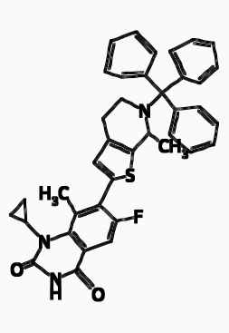 Cc1c(-c2cc3c(s2)C(C)N(C(c2ccccc2)(c2ccccc2)c2ccccc2)CC3)c(F)cc2c(=O)[nH]c(=O)n(C3CC3)c12